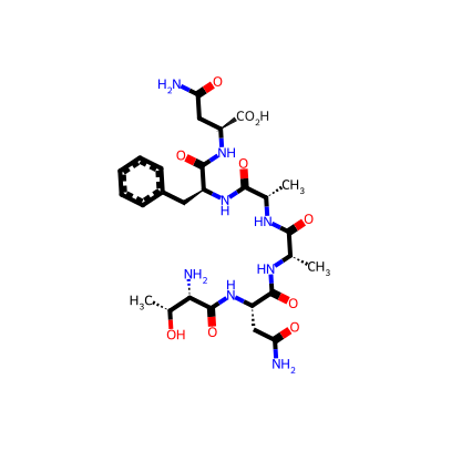 C[C@H](NC(=O)[C@H](C)NC(=O)[C@H](CC(N)=O)NC(=O)[C@@H](N)[C@@H](C)O)C(=O)N[C@@H](Cc1ccccc1)C(=O)N[C@@H](CC(N)=O)C(=O)O